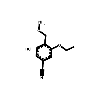 CCOc1cc(C#N)ccc1CON.Cl